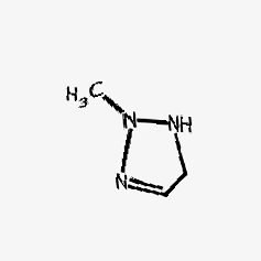 CN1N=CCN1